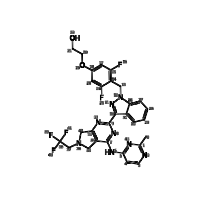 Cc1nccc(Nc2nc(-c3nn(Cc4c(F)cc(OCCO)cc4F)c4ccccc34)nc3c2CN(CC(F)(F)F)C3)n1